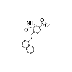 NC(=O)c1cc([N+](=O)[O-])ccc1CCc1cccc2ccccc12